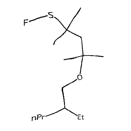 CCCC(CC)COC(C)(C)CC(C)(C)SF